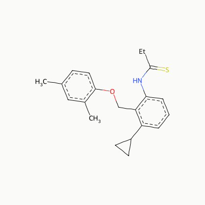 CCC(=S)Nc1cccc(C2CC2)c1COc1ccc(C)cc1C